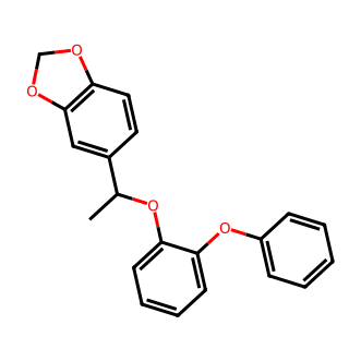 CC(Oc1ccccc1Oc1ccccc1)c1ccc2c(c1)OCO2